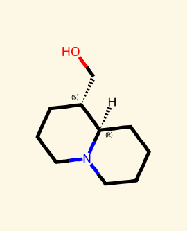 OC[C@H]1CCCN2CCCC[C@H]12